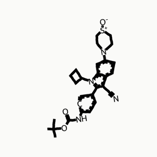 CC(C)(C)OC(=O)Nc1ccc(-c2c(C#N)c3ccc(N4CC[S+]([O-])CC4)cc3n2C2CCC2)cc1